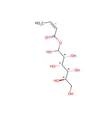 O=C(O)/C=C\C(=O)OC(O)[C@H](O)[C@@H](O)[C@H](O)[C@H](O)CO